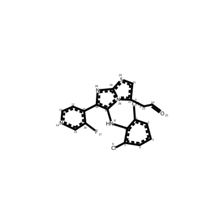 Cc1cccc(Cl)c1Nc1c(-c2ccncc2F)nc2scc(CC=O)n12